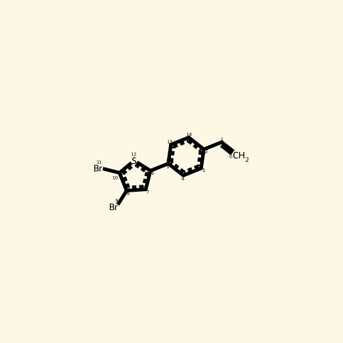 C=Cc1ccc(-c2cc(Br)c(Br)s2)cc1